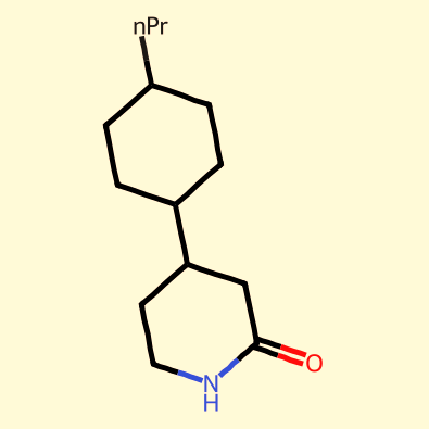 CCCC1CCC(C2CCNC(=O)C2)CC1